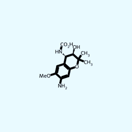 COc1cc2c(cc1N)OC(C)(C)[C@H](O)[C@H]2NC(=O)O